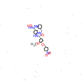 COc1cc(C(Nc2ccc(C(=N)NO)cc2)C(=O)NCc2ccccc2)ccc1OCc1ccc([N+](=O)[O-])cc1